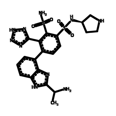 CC(N)c1nc2c(-c3ccc(S(=O)(=O)N[C@@H]4CCNC4)c(S(N)(=O)=O)c3-c3nn[nH]n3)cccc2[nH]1